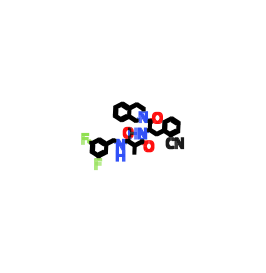 CC(C(=O)NCc1cc(F)cc(F)c1)C(=O)NC(Cc1ccccc1C#N)C(=O)N1CCc2ccccc2C1